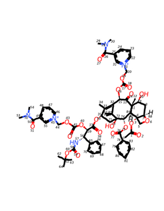 CC(=O)O[C@@]12CO[C@@H]1C[C@H](O)[C@@]1(C)C(=O)[C@H](OC(=O)OC[n+]3cccc(C(=O)N(C)C)c3)C3=C(C)[C@@H](OC(=O)[C@H](OC(=O)OC[n+]4cccc(C(=O)N(C)C)c4)[C@@H](NC(=O)OC(C)(C)C)c4ccccc4)C[C@@](O)([C@@H](OC(=O)c4ccccc4)[C@H]21)C3(C)C